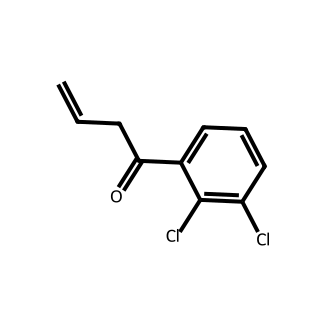 C=CCC(=O)c1cccc(Cl)c1Cl